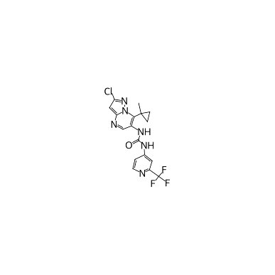 CC1(c2c(NC(=O)Nc3ccnc(C(F)(F)F)c3)cnc3cc(Cl)nn23)CC1